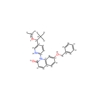 C[SiH](C)OC(c1ccc(-n2c(=O)ccc3ccc(OCc4ccccc4)cc32)nc1)C(C)(C)C